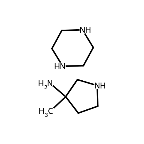 C1CNCCN1.CC1(N)CCNC1